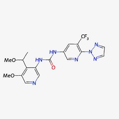 COc1cncc(NC(=O)Nc2cnc(-n3nccn3)c(C(F)(F)F)c2)c1C(C)OC